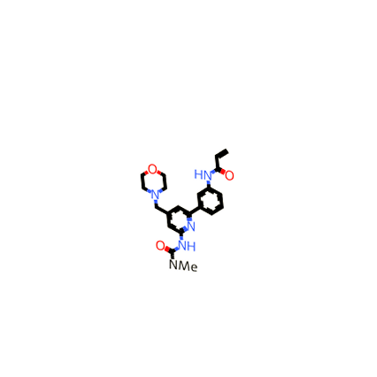 C=CC(=O)Nc1cccc(-c2cc(CN3CCOCC3)cc(NC(=O)NC)n2)c1